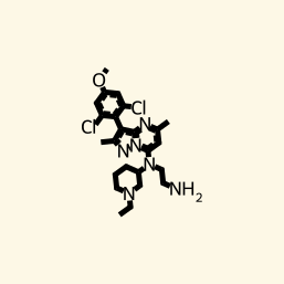 CCN1CCCC(N(CCN)c2cc(C)nc3c(-c4c(Cl)cc(OC)cc4Cl)c(C)nn23)C1